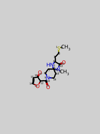 CSCCC1NC2(CCN(C(=O)C3OC=CC3=O)CC2)N(C)C1=O